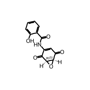 O=C(NC1=CC(=O)[C@H]2O[C@H]2C1=O)c1ccccc1O